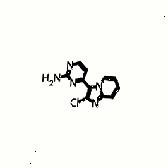 Nc1nccc(-c2c(Cl)nc3ccccn23)n1